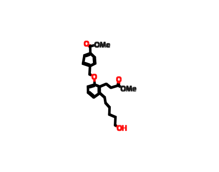 COC(=O)CCc1c(CCCCCCO)cccc1OCc1ccc(C(=O)OC)cc1